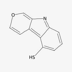 Sc1cccc2nc3coccc-3c12